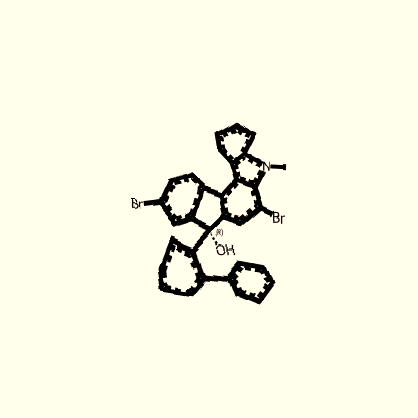 Cn1c2ccccc2c2c3c(cc(Br)c21)[C@@](O)(c1ccccc1-c1ccccc1)c1cc(Br)ccc1-3